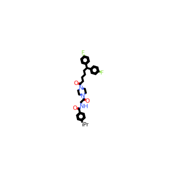 CC(C)c1ccc(C(=O)NCC(=O)N2CCN(C(=O)CCCCC(c3ccc(F)cc3)c3ccc(F)cc3)CC2)cc1